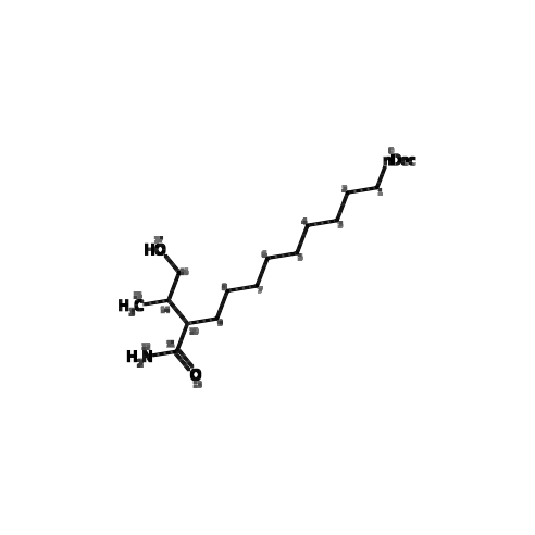 CCCCCCCCCCCCCCCCCCCC(C(N)=O)C(C)CO